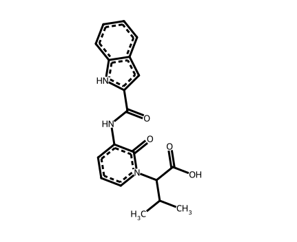 CC(C)C(C(=O)O)n1cccc(NC(=O)c2cc3ccccc3[nH]2)c1=O